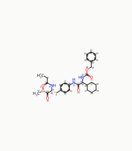 CCC(=O)N[C@H](Cc1ccc(NC(=O)[C@@H](NC(=O)OCc2ccccc2)C2CCCCC2)cc1)C(=O)OC